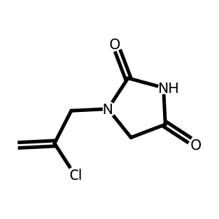 C=C(Cl)CN1CC(=O)NC1=O